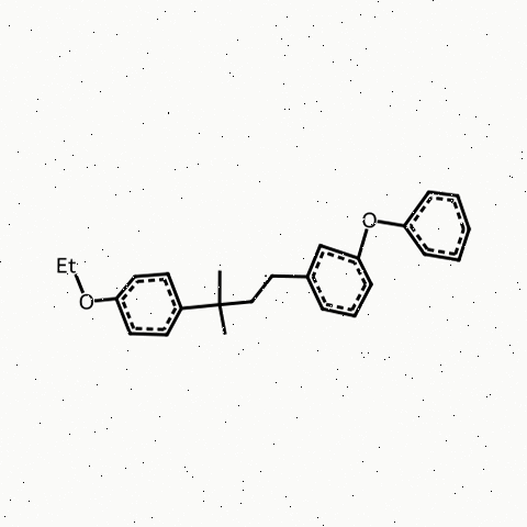 CCOc1ccc(C(C)(C)C[CH]c2cccc(Oc3ccccc3)c2)cc1